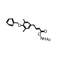 CC(=O)NOC(=O)C=CCc1cc(C)c(OCc2ccccc2)c(C)c1